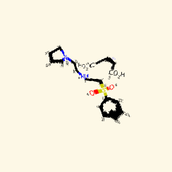 O=C(O)/C=C\C(=O)O.O=S(=O)(CCNCCN1CCCC1)c1ccccc1